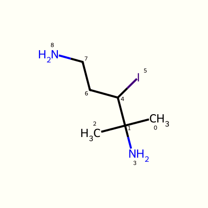 CC(C)(N)C(I)CCN